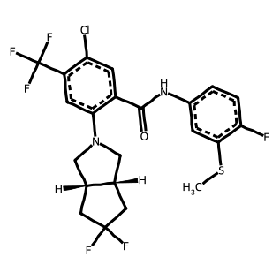 CSc1cc(NC(=O)c2cc(Cl)c(C(F)(F)F)cc2N2C[C@@H]3CC(F)(F)C[C@@H]3C2)ccc1F